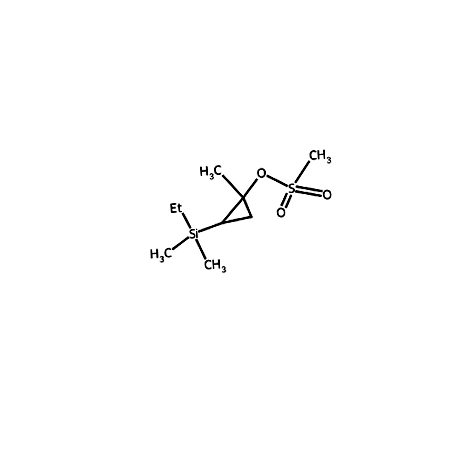 CC[Si](C)(C)C1CC1(C)OS(C)(=O)=O